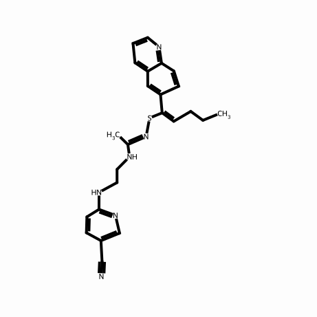 CCC/C=C(/S/N=C(\C)NCCNc1ccc(C#N)cn1)c1ccc2ncccc2c1